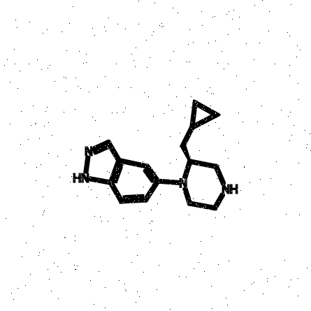 c1cc2[nH]ncc2cc1N1CCNC[C@@H]1CC1CC1